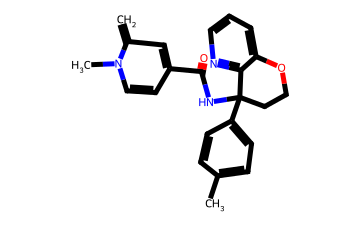 C=C1C=C(C(=O)NC2(c3ccc(C)cc3)CCOc3cccnc32)C=CN1C